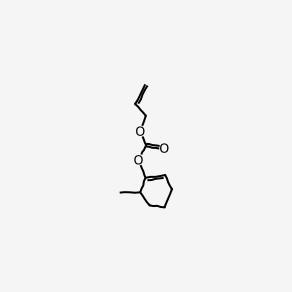 C=CCOC(=O)OC1=CCCCC1C